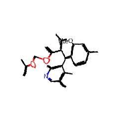 C=C(C)OCOC(=C)C(=C(C)C)C(c1ccc(C)cc1OC)c1c(C)ncc(C)c1C